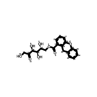 O=C(OC[C@@H](O)[C@@H](O)[C@H](O)C(=O)CO)c1cccc2c1Cc1ccccc1O2